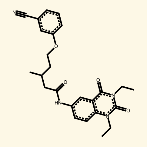 CCn1c(=O)c2cc(NC(=O)CC(C)CCOc3cccc(C#N)c3)ccc2n(CC)c1=O